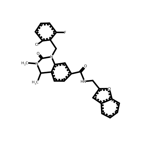 CC1c2ccc(C(=O)NCc3cc4ccccc4o3)cc2N(Cc2c(F)cccc2Cl)C(=O)N1C